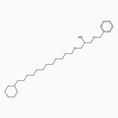 OC(COCCCCCCCCCCCCC1CCCCC1)COCc1ccccc1